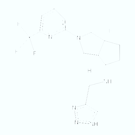 FC(F)(F)c1cccc(N2C[C@H]3CC[C@H](NCc4c[nH]nn4)[C@H]3C2)n1